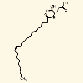 CCCCCCCC/C=C\CCCCCCCCCCCC(=O)N[C@@H](CCC(=O)O)C(=O)O